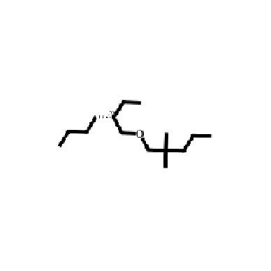 CCCC[C@H](CC)COCC(C)(C)CCC